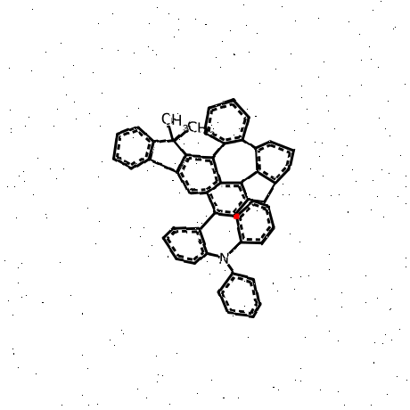 CC1(C)c2ccccc2-c2cc3c(-c4ccccc4N(c4ccccc4)c4ccccc4)cc4c5c3c(c21)-c1ccccc1-c1cccc(c1-5)C4